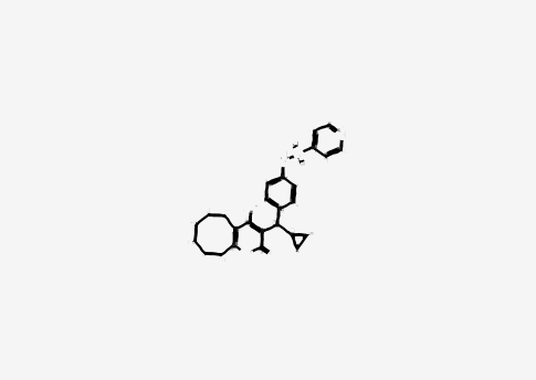 O=c1oc2c(c(O)c1C(c1ccc(NS(=O)(=O)c3ccncc3)cc1)C1CC1)CCCCCC2